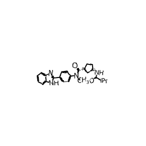 CC(C)C(=O)N[C@H]1CC[C@@H](C(=O)N(C)c2ccc(-c3nc4ccccc4[nH]3)cc2)C1